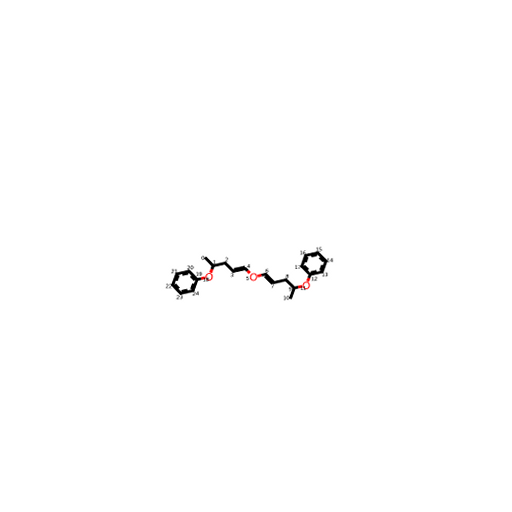 CC(CC=COC=CCC(C)Oc1ccccc1)Oc1ccccc1